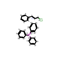 ClC/C=C/c1ccccc1.c1ccc(P(c2ccccc2)c2ccccc2)cc1